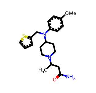 COc1ccc(N(Cc2cccs2)C2CCN(C(C)CC(N)=O)CC2)cc1